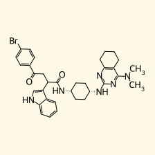 CN(C)c1nc(N[C@H]2CC[C@@H](NC(=O)C(CC(=O)c3ccc(Br)cc3)c3c[nH]c4ccccc34)CC2)nc2c1CCCC2